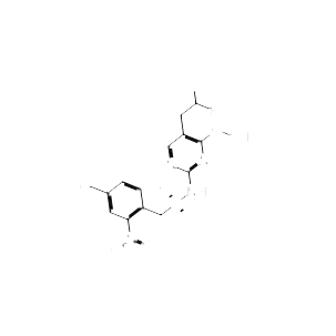 COc1nc(NS(=O)(=O)Cc2ccc(Cl)cc2[N+](=O)[O-])ncc1CC(F)F